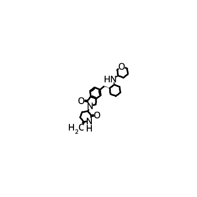 C=C1CCC(N2Cc3cc(C[C@H]4CCCC[C@@H]4N[C@@H]4CCCOC4)ccc3C2=O)C(=O)N1